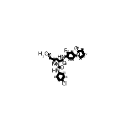 COCC1=NN(C(=O)Nc2ccc(Cl)cc2)C(C(=O)Nc2ccc(-n3ccccc3=O)cc2F)C1